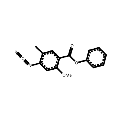 COc1cc(N=C=S)c(C)cc1C(=O)Oc1ccccc1